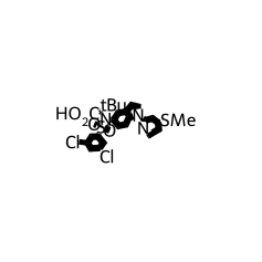 CSc1ccnc(-n2ccc3cc(N(C(C(=O)O)C(C)(C)C)S(=O)(=O)c4cc(Cl)cc(Cl)c4)ccc32)c1